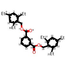 CCc1cc(CC)c(COC(=O)c2cccc(C(=O)OCc3c(CC)cc(CC)cc3CC)c2)c(CC)c1